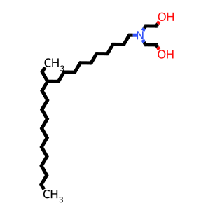 CCCCCCCCCCCCC(CC)CCCCCCCCCCN(CCO)CCO